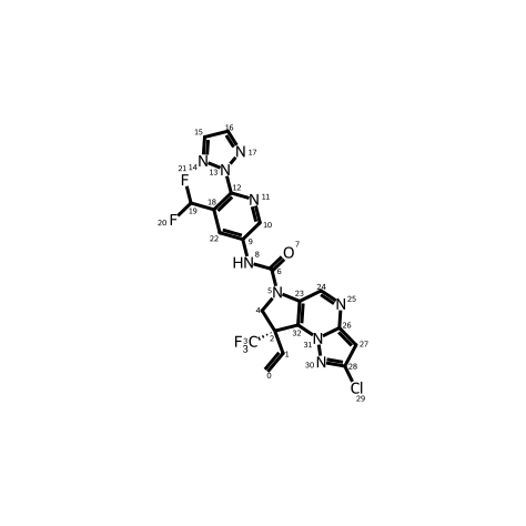 C=C[C@@]1(C(F)(F)F)CN(C(=O)Nc2cnc(-n3nccn3)c(C(F)F)c2)c2cnc3cc(Cl)nn3c21